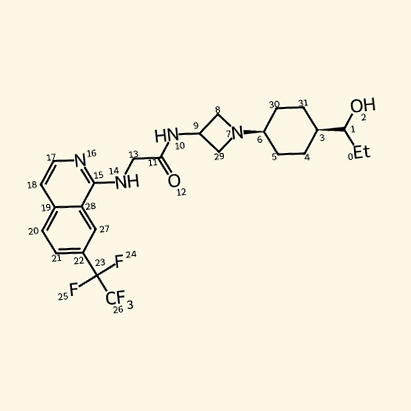 CCC(O)[C@H]1CC[C@@H](N2CC(NC(=O)CNc3nccc4ccc(C(F)(F)C(F)(F)F)cc34)C2)CC1